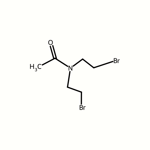 CC(=O)N(CCBr)CCBr